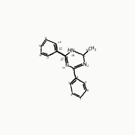 CC1N=C(c2ccccc2)N=C(c2ccccc2)N1